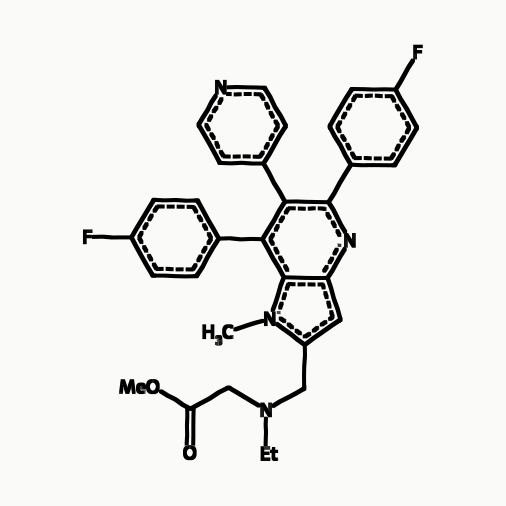 CCN(CC(=O)OC)Cc1cc2nc(-c3ccc(F)cc3)c(-c3ccncc3)c(-c3ccc(F)cc3)c2n1C